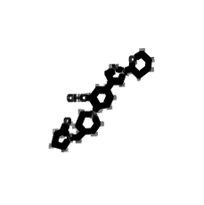 O=Cc1cc(-c2cnn(C3CCCCO3)c2)ccc1N1CCC(CN2CCCC2=O)CC1